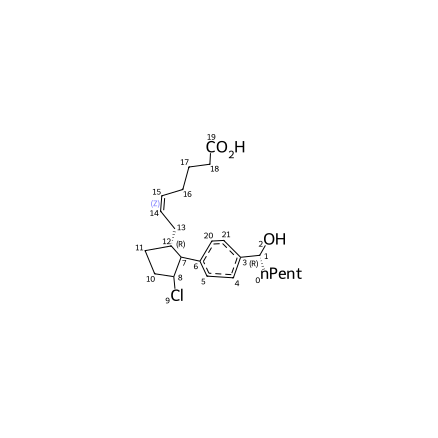 CCCCC[C@@H](O)c1ccc(C2C(Cl)CC[C@@H]2C/C=C\CCCC(=O)O)cc1